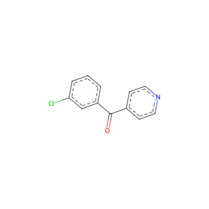 O=C(c1ccncc1)c1cccc(Cl)c1